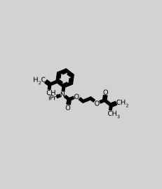 C=C(C)C(=O)OCCOC(=O)N(c1ccccc1C(=C)C)C(C)C